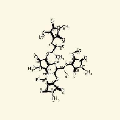 CCSC1=C(S[C@@H](CC)[C@H](C)SC2=C(S[C@H]([C@@H](C)SC3=C(SC(C)C)C(=O)N(C)C3=O)[C@@H](CC)SC3=C(SCC)C(=O)N(C)C3=O)C(=O)N(C)C2=O)C(=O)N(C)C1=O